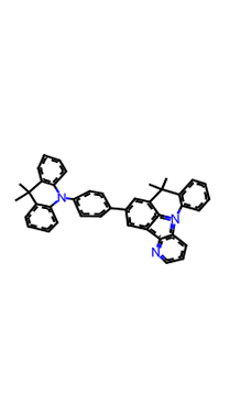 CC1(C)c2ccccc2N(c2ccc(-c3cc4c5c(c3)c3ncccc3n5-c3ccccc3C4(C)C)cc2)c2ccccc21